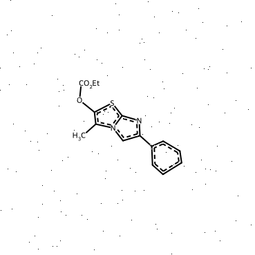 CCOC(=O)Oc1sc2nc(-c3ccccc3)cn2c1C